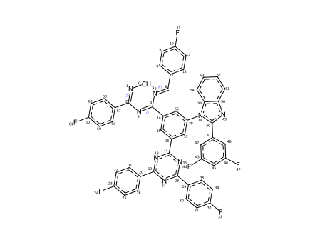 C\N=C(/N=C(\N=C\c1ccc(F)cc1)c1cc(-c2nc(-c3ccc(F)cc3)nc(-c3ccc(F)cc3)n2)cc(-n2c(-c3cc(F)cc(F)c3)nc3ccccc32)c1)c1ccc(F)cc1